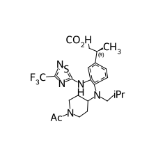 CC(=O)N1CCC(N(CC(C)C)c2ccc([C@H](C)CC(=O)O)cc2Nc2nc(C(F)(F)F)ns2)CC1